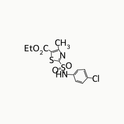 CCOC(=O)c1sc(S(=O)(=O)Nc2ccc(Cl)cc2)nc1C